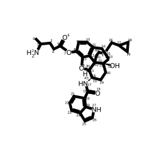 CC(N)CCC(=O)Oc1ccc2c3c1O[C@H]1[C@@H](NC(=O)c4cccc5cc[nH]c45)CC[C@@]4(O)C(C2)N(CC2CC2)CCC314